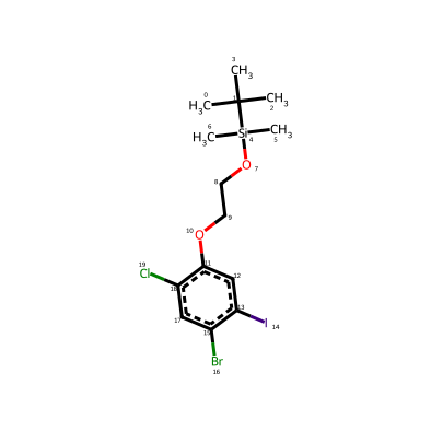 CC(C)(C)[Si](C)(C)OCCOc1cc(I)c(Br)cc1Cl